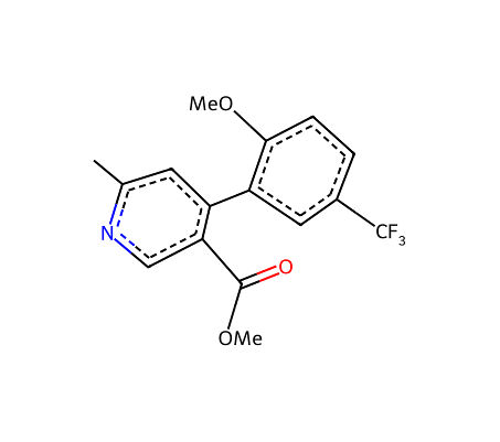 COC(=O)c1cnc(C)cc1-c1cc(C(F)(F)F)ccc1OC